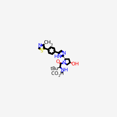 Cc1ncsc1-c1ccc(-c2cnc([C@@H]3C[C@@H](O)CN3C(=O)[C@@H](NC(=O)O)C(C)(C)C)[nH]2)cc1